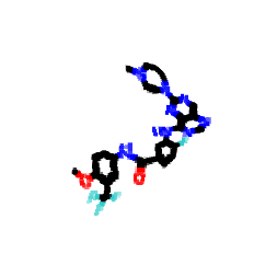 COc1ccc(NC(=O)c2ccc(F)c(Nc3ncnc4cnc(N5CCN(C)CC5)nc34)c2)cc1C(F)(F)F